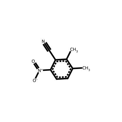 Cc1ccc([N+](=O)[O-])c(C#N)c1C